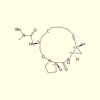 CN(C(=O)N[C@H]1CCCCC/C=C\[C@@H]2C[C@H]2NC(=O)[C@@H]2CCCN2OC1)C(C)(C)C